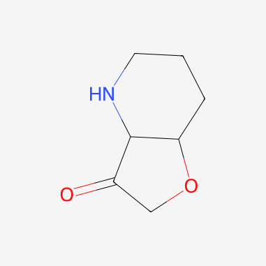 O=C1COC2CCCNC12